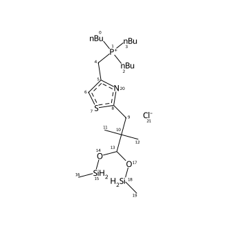 CCCC[P+](CCCC)(CCCC)Cc1csc(CC(C)(C)C(O[SiH2]C)O[SiH2]C)n1.[Cl-]